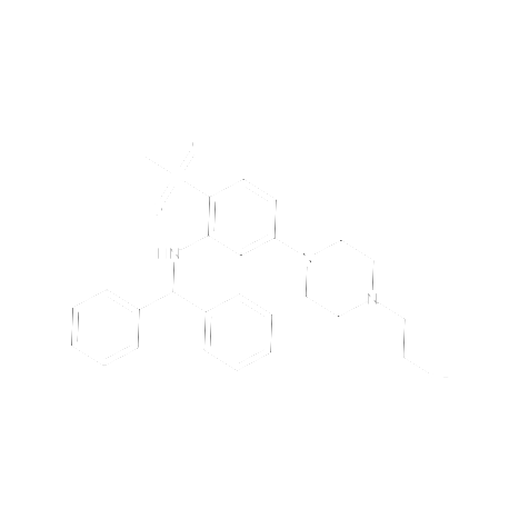 CS(=O)(=O)c1ccc(N2CCN(CCC(F)(F)F)CC2)cc1NC(c1ccccc1)c1ccccc1